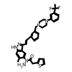 Cc1cc2[nH]nc(/C=C/c3cccc(CN4CCN(c5cccc(C(C)(F)F)c5)CC4)c3)c2cc1N(N)C(=O)Cc1cccs1